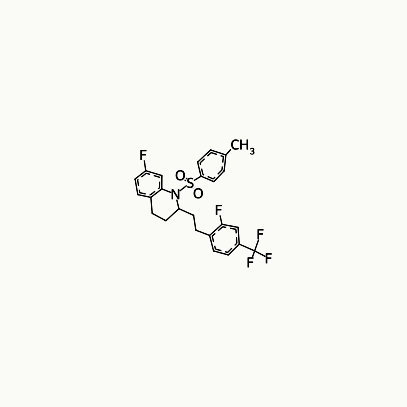 Cc1ccc(S(=O)(=O)N2c3cc(F)ccc3CCC2CCc2ccc(C(F)(F)F)cc2F)cc1